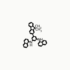 CC1(C)c2ccccc2-c2ccc(-c3cc(Nc4cccc5ccccc45)cc(Nc4cccc5ccccc45)c3)cc21